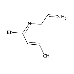 C=CCN=C(C=CC)CC